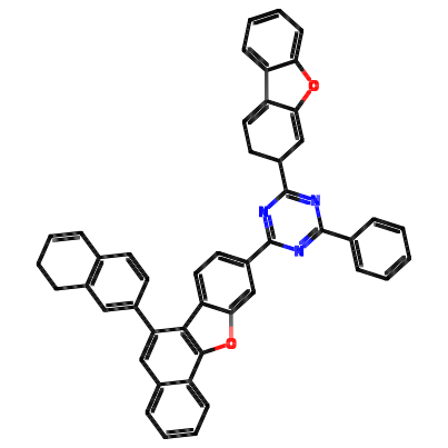 C1=Cc2ccc(-c3cc4ccccc4c4oc5cc(-c6nc(-c7ccccc7)nc(C7C=c8oc9ccccc9c8=CC7)n6)ccc5c34)cc2CC1